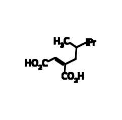 CC(C)C(C)CC(=CC(=O)O)C(=O)O